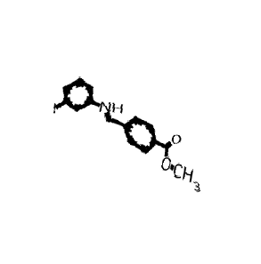 COC(=O)c1ccc(CNc2cccc(I)c2)cc1